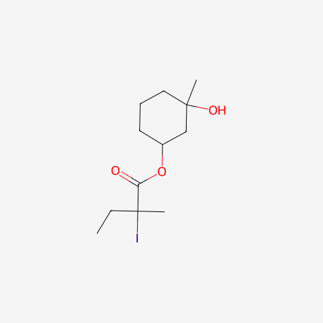 CCC(C)(I)C(=O)OC1CCCC(C)(O)C1